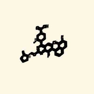 C[C@@H]1CN(C(=O)O)CCN1c1nc(OC[C@@H]2CCCN2C)nc2c(F)c(-c3cccc4ccc(F)c(Cl)c34)ncc12